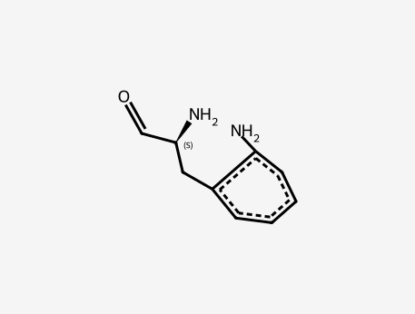 Nc1ccccc1C[C@H](N)C=O